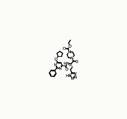 CCOC(=O)N1CCN(C(=O)[C@H](CCc2nnn[nH]2)NC(=O)c2cc(OC3CCCC3)nc(-c3ccccc3)n2)CC1